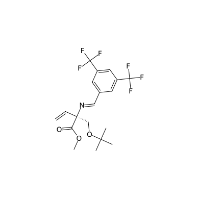 C=C[C@@](COC(C)(C)C)(N=Cc1cc(C(F)(F)F)cc(C(F)(F)F)c1)C(=O)OC